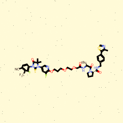 Cc1ncsc1-c1ccc(CNC(=O)[C@@H]2CCCN2C(=O)[C@@H](NC(=O)COCCOCCCOc2ncc(N3C(=S)N(c4ccc(C#N)c(C(F)(F)F)c4F)C(=O)C3(C)C)cc2F)C(C)(C)C)cc1